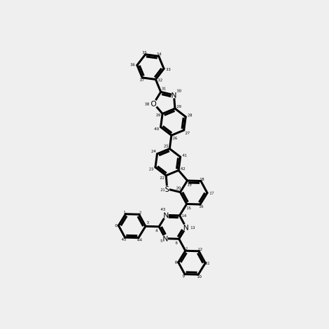 c1ccc(-c2nc(-c3ccccc3)nc(-c3cccc4c3sc3ccc(-c5ccc6nc(-c7ccccc7)oc6c5)cc34)n2)cc1